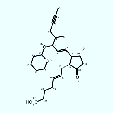 CC#CCC(C)[C@@H](C=C[C@H]1[C@H](C)CC(=O)[C@@H]1CC=CCCCC(=O)O)OC1CCCCO1